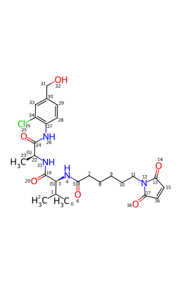 CC(C)[C@H](NC(=O)CCCCCN1C(=O)C=CC1=O)C(=O)N[C@@H](C)C(=O)Nc1ccc(CO)cc1Cl